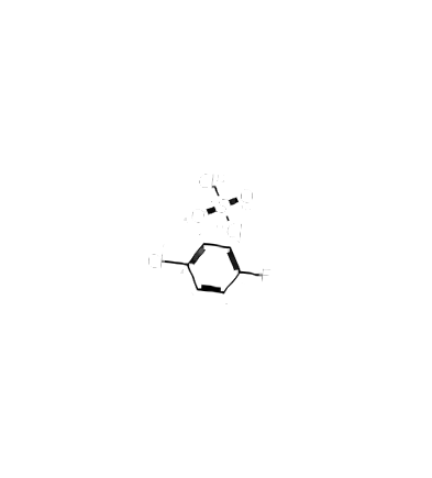 Fc1ccc(Cl)cc1.O=S(=O)(Cl)Cl